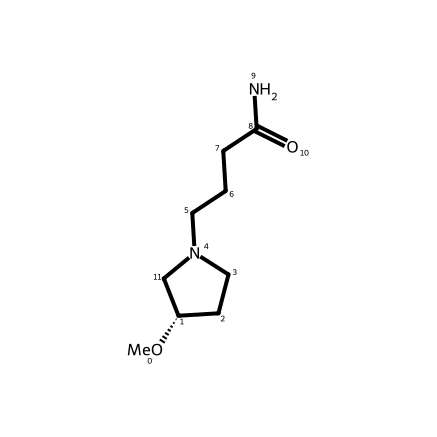 CO[C@H]1CCN(CCCC(N)=O)C1